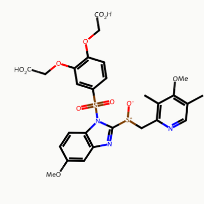 COc1ccc2c(c1)nc([S+]([O-])Cc1ncc(C)c(OC)c1C)n2S(=O)(=O)c1ccc(OCC(=O)O)c(OCC(=O)O)c1